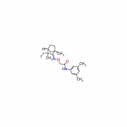 Cc1cc(C)cc(NC(=O)CO/N=C2/C(C)(CI)[C@@H]3CC[C@@]2(C)C3)c1